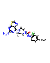 COc1ccc(NC(=O)N2CCN(c3nc(N)nc4scnc34)[C@@H](C)C2)c(Cl)c1